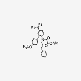 CCN(CC)c1ccc(N(CCCc2ccccc2)C(=O)C(=O)OC)c(-c2ccc(OC(F)(F)F)cc2)c1